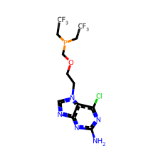 Nc1nc(Cl)c2c(ncn2CCOCP(CC(F)(F)F)CC(F)(F)F)n1